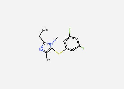 CC(=O)OCc1nc(C(C)C)c(Sc2cc(F)cc(F)c2)n1C